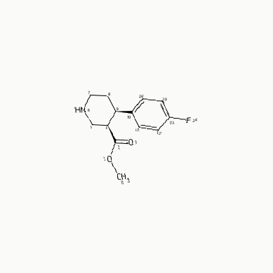 COC(=O)[C@H]1CNCC[C@H]1c1ccc(F)cc1